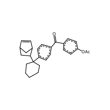 CC(=O)Oc1ccc(C(=O)c2ccc(C3(C4CC5C=CC4C5)CCCCC3)cc2)cc1